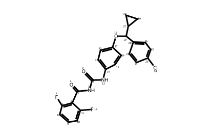 O=C(NC(=O)c1c(F)cccc1F)Nc1ccc(OC(c2ccc(Cl)cc2)C2CC2)cc1